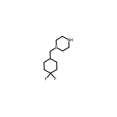 FC1(F)CCC(CN2CCNCC2)CC1